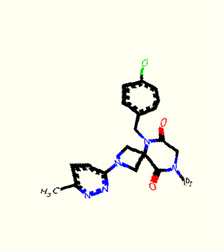 Cc1ccc(N2CC3(C2)C(=O)N(C(C)C)CC(=O)N3Cc2ccc(Cl)cc2)nn1